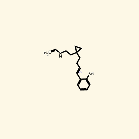 C=CNCCC1(CC/C=C/c2ccccc2S)CC1